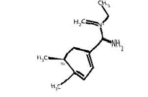 C=[N+](CC)C(N)C1=CC=C(C)[C@@H](C)C1